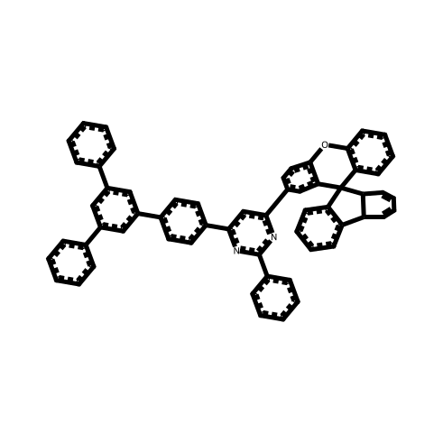 C1=CC2c3ccccc3C3(c4ccccc4Oc4ccc(-c5cc(-c6ccc(-c7cc(-c8ccccc8)cc(-c8ccccc8)c7)cc6)nc(-c6ccccc6)n5)cc43)C2C=C1